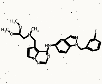 COC(CN(C)Cc1ccn2ncnc(Nc3ccc4c(cnn4Cc4cccc(F)c4)c3)c12)OC